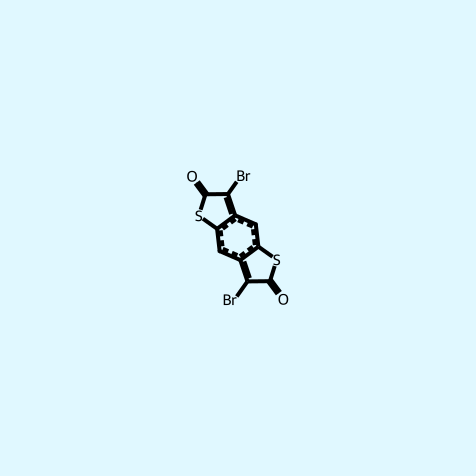 O=C1Sc2cc3c(cc2=C1Br)SC(=O)C=3Br